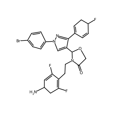 NC1C=C(F)C(CCN2C(=O)COC2c2cn(-c3ccc(Br)cc3)nc2C2=CCC(F)C=C2)=C(F)C1